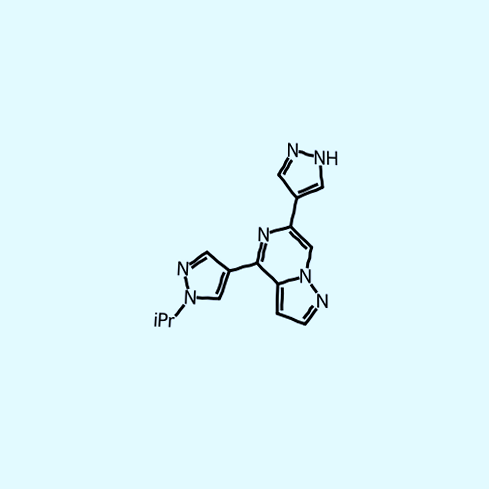 CC(C)n1cc(-c2nc(-c3cn[nH]c3)cn3nccc23)cn1